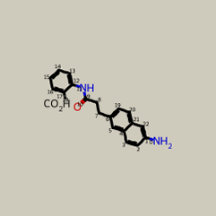 Nc1ccc2cc(CCC(=O)Nc3ccccc3C(=O)O)ccc2c1